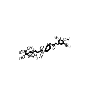 C=C(/C(O)=C(\C=C(/C)CCC(=O)Nc1ccc(NC(=O)CCc2cc(C(C)(C)C)c(O)c(C(C)(C)C)c2)cc1)C(C)(C)C)C(C)(C)C